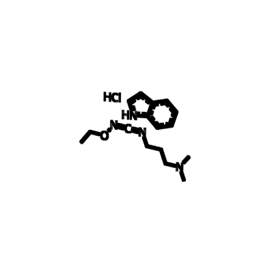 CCON=C=NCCCN(C)C.Cl.c1ccc2[nH]ccc2c1